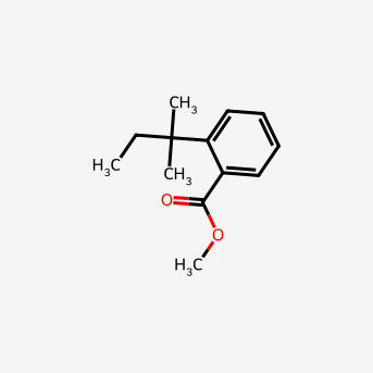 CCC(C)(C)c1ccccc1C(=O)OC